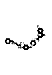 O=C(CCNCC1CCCCC1)Nc1ccc(CN2CCC(NC(=O)c3cc(=O)c4ccc(F)cc4o3)CC2)cc1F